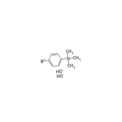 [B+2]c1ccc([Si](C)(C)C)cc1.[OH-].[OH-]